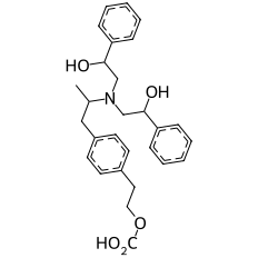 CC(Cc1ccc(CCOC(=O)O)cc1)N(CC(O)c1ccccc1)CC(O)c1ccccc1